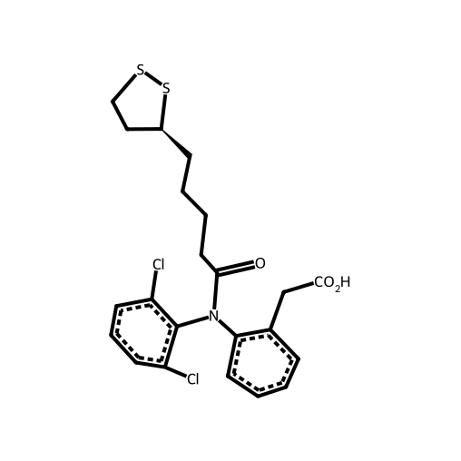 O=C(O)Cc1ccccc1N(C(=O)CCCC[C@H]1CCSS1)c1c(Cl)cccc1Cl